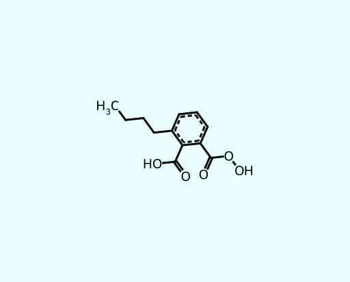 CCCCc1cccc(C(=O)OO)c1C(=O)O